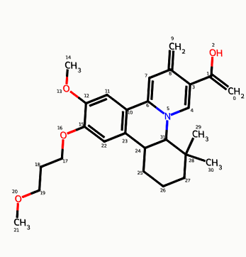 C=C(O)C1=CN2C(=CC1=C)c1cc(OC)c(OCCCOC)cc1C1CCCC(C)(C)C12